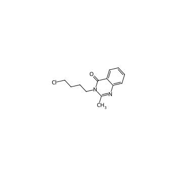 Cc1nc2ccccc2c(=O)n1CCCCCl